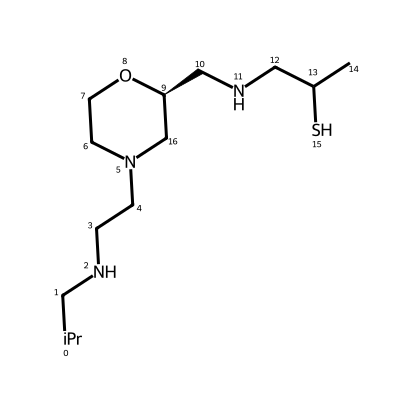 CC(C)CNCCN1CCO[C@@H](CNCC(C)S)C1